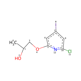 CC(O)COc1cc(I)cc(Cl)n1